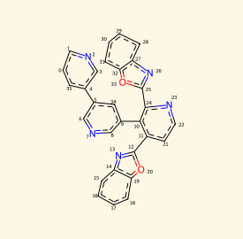 c1cncc(-c2cncc(-c3c(-c4nc5ccccc5o4)ccnc3-c3nc4ccccc4o3)c2)c1